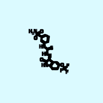 NS(=O)(=O)c1cccc(NC(=S)NN=C2C(=O)Nc3ccc(OC(F)(F)F)cc32)c1